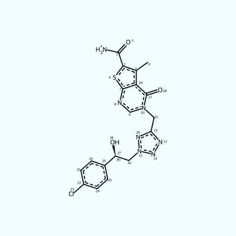 Cc1c(C(N)=O)sc2ncn(Cc3nnn(C[C@H](O)c4ccc(Cl)cc4)n3)c(=O)c12